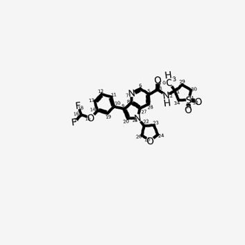 CC1(NC(=O)c2cnc3c(-c4cccc(OC(F)F)c4)cn(C4CCOC4)c3c2)CCS(=O)(=O)C1